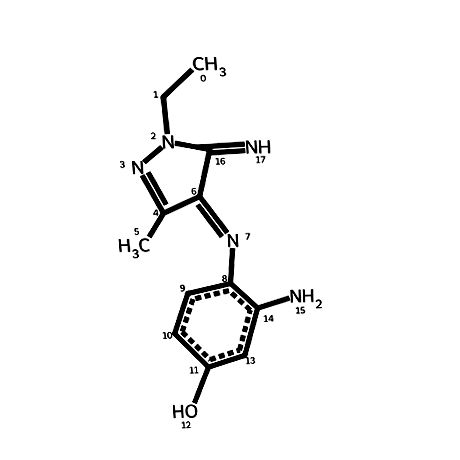 CCN1N=C(C)C(=Nc2ccc(O)cc2N)C1=N